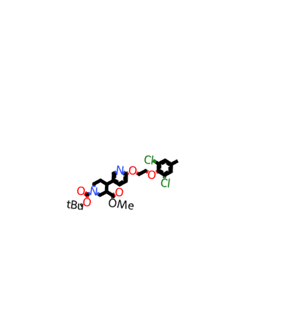 COC(=O)C1CN(C(=O)OC(C)(C)C)CCC1c1ccc(OCCOc2c(Cl)cc(C)cc2Cl)nc1